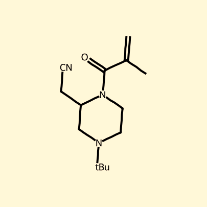 C=C(C)C(=O)N1CCN(C(C)(C)C)CC1CC#N